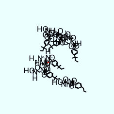 CCC(C)(C)c1ccc(S(=O)(=O)NCC(=O)NO)cc1.CCC(C)(C)c1ccc(S(=O)(=O)N[C@@H](CN)C(=O)NO)cc1.CCC(C)(C)c1ccc(S(=O)(=O)N[C@@H](CS)C(=O)NO[C@H](C)[C@H](NS(=O)(=O)c2ccc(C(C)(C)CC)cc2)C(=O)NOC[C@](N)(C(=O)NO)S(=O)(=O)c2ccc(C(C)(C)CC)cc2)cc1.CCCc1ccc(S(=O)(=O)N=CC(=O)NO)cc1